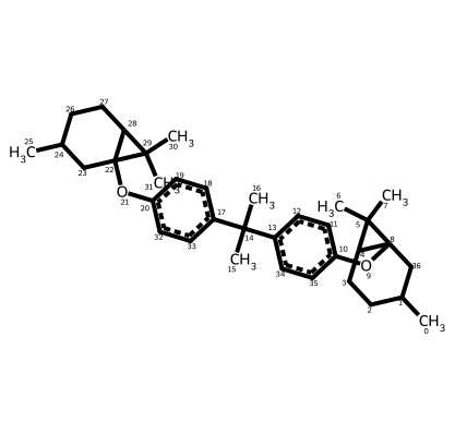 CC1CCC2C(C)(C)C2(Oc2ccc(C(C)(C)c3ccc(OC45CC(C)CCC4C5(C)C)cc3)cc2)C1